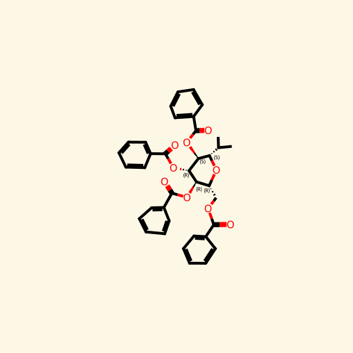 CC(C)[C@@H]1O[C@H](COC(=O)c2ccccc2)[C@@H](OC(=O)c2ccccc2)[C@H](OC(=O)c2ccccc2)[C@H]1OC(=O)c1ccccc1